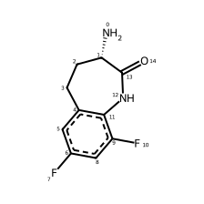 N[C@H]1CCc2cc(F)cc(F)c2NC1=O